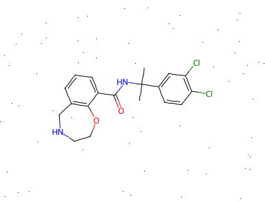 CC(C)(NC(=O)c1cccc2c1OCCNC2)c1ccc(Cl)c(Cl)c1